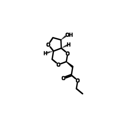 CCOC(=O)C[C@H]1OC[C@H]2OC[C@H](O)[C@H]2O1